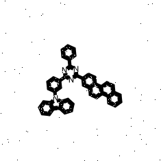 c1ccc(-c2nc(-c3cccc(-n4c5ccccc5c5ccccc54)c3)nc(-c3ccc4c(ccc5c6ccccc6ccc45)c3)n2)cc1